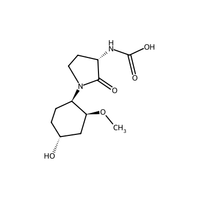 CO[C@H]1C[C@H](O)CC[C@H]1N1CC[C@H](NC(=O)O)C1=O